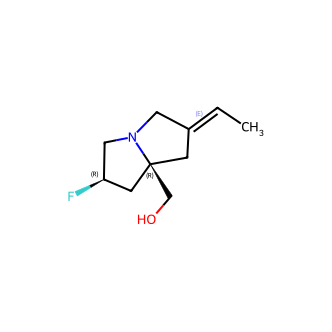 C/C=C1/CN2C[C@H](F)C[C@@]2(CO)C1